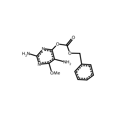 COc1nc(N)nc(OC(=O)OCc2ccccc2)c1N